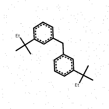 CCC(C)(C)c1cc[c]c(Cc2[c]ccc(C(C)(C)CC)c2)c1